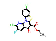 CCOC(=O)c1c(=O)c2cc(F)c(Cl)nc2n2c1sc1cc(Cl)ccc12